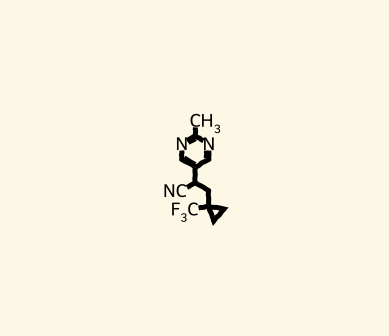 Cc1ncc(C(C#N)CC2(C(F)(F)F)CC2)cn1